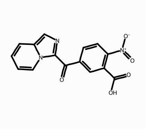 O=C(O)c1cc(C(=O)c2ncc3ccccn23)ccc1[N+](=O)[O-]